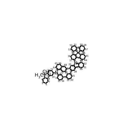 CC1(C)c2ccccc2-c2cc(N(c3cccc(-c4cccc(-c5ccc6c(c5)c5ccccc5n6-c5cccc6c5-c5ccccc5C6(c5ccccc5)c5ccccc5)c4)c3)c3cccc4ccccc34)ccc21